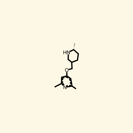 Cc1cc(OCC2CC[C@@H](C)NC2)cc(C)n1